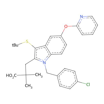 CC(C)(C)Sc1c(CC(C)(C)C(=O)O)n(Cc2ccc(Cl)cc2)c2ccc(Oc3ccccn3)cc12